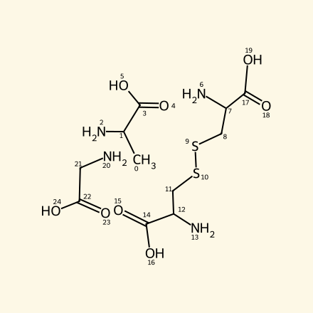 CC(N)C(=O)O.NC(CSSCC(N)C(=O)O)C(=O)O.NCC(=O)O